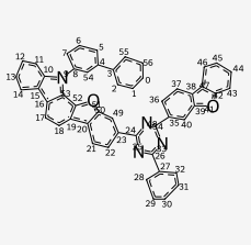 c1ccc(-c2cccc(-n3c4ccccc4c4ccc5c6ccc(-c7nc(-c8ccccc8)nc(-c8ccc9c(c8)oc8ccccc89)n7)cc6oc5c43)c2)cc1